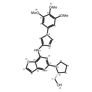 COc1cc(-n2cnc(Nc3nc(N4CCC[C@@H]4CO)nc4ccoc34)c2)cc(OC)c1OC